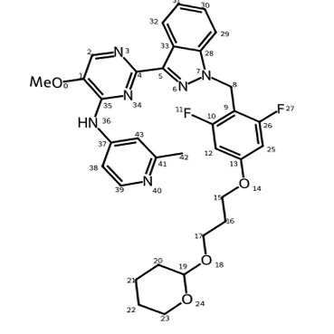 COc1cnc(-c2nn(Cc3c(F)cc(OCCCOC4CCCCO4)cc3F)c3ccccc23)nc1Nc1ccnc(C)c1